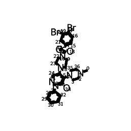 CN1CCN(c2c(N3CCN(S(=O)(=O)c4ccc(Br)c(Br)c4)CC3)cnn(-c3ccccc3)c2=O)CC1